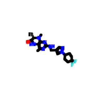 CC[C@H]1C(=O)Nc2c(C)nc(NCc3cnn(C4CCC(F)(F)CC4)c3)nc2N1C